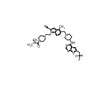 Cc1c(CN2CCC(Nc3ncnc4sc(CC(F)(F)F)cc34)CC2)ccc2c1cc(C#N)n2CCN1CCN(C(=O)N(C)C)CC1